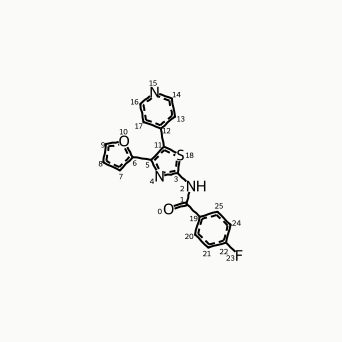 O=C(Nc1nc(-c2ccco2)c(-c2ccncc2)s1)c1ccc(F)cc1